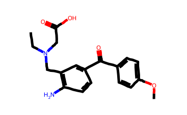 CCN(CC(=O)O)Cc1cc(C(=O)c2ccc(OC)cc2)ccc1N